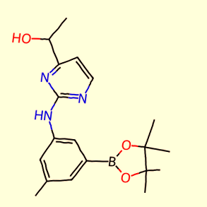 Cc1cc(Nc2nccc(C(C)O)n2)cc(B2OC(C)(C)C(C)(C)O2)c1